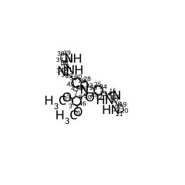 COc1cc(OC)cc(C2Oc3cc(-c4cnc(C5CCCN5)[nH]4)ccc3-c3cc4cc(-c5cnc([C@@H]6CCCN6)[nH]5)ccc4n32)c1